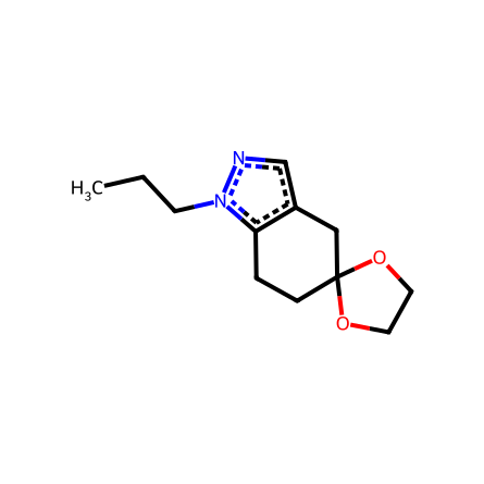 CCCn1ncc2c1CCC1(C2)OCCO1